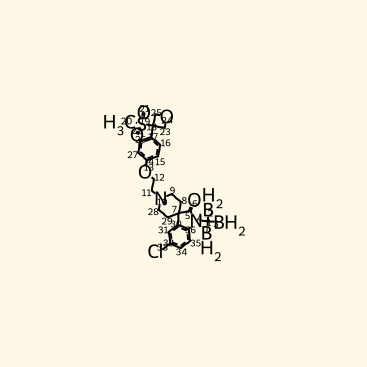 BC(B)(B)N1C(=O)C2(CCN(CCOc3ccc(C4(S(C)(=O)=O)COC4)cc3)CC2)c2cc(Cl)ccc21